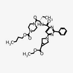 CCCCOC(=O)N1CCN(C(=O)[C@H](CC)NC(=O)c2cc(N3CC4C(C3)C4C(=O)OCC)nc(-c3ccccc3)n2)CC1